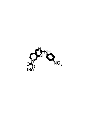 CC(C)(C)OC(=O)N1CCc2cnc(Nc3ccc([N+](=O)[O-])cc3)nc2C1